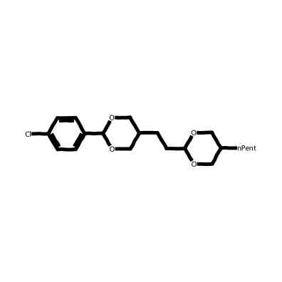 CCCCCC1COC(CCC2COC(c3ccc(Cl)cc3)OC2)OC1